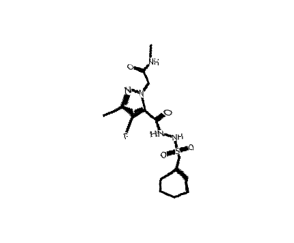 CNC(=O)Cn1nc(C)c(F)c1C(=O)NNS(=O)(=O)C1CCCCC1